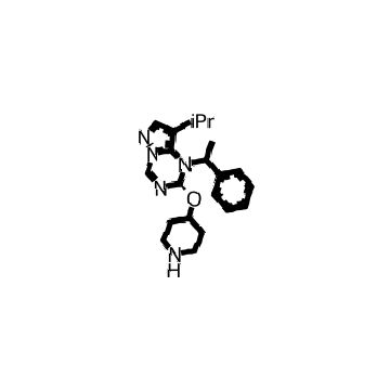 CC(C)c1cnn2c1N(C(C)c1ccccc1)[C@H](OC1CCNCC1)N=C2